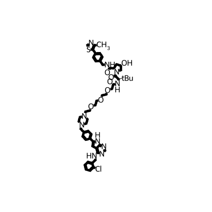 Cc1ncsc1-c1ccc(CNC(=O)C2CC(O)CN2C(=O)[C@@H](NC(=O)COCCOCCOCCN2CCN(Cc3ccc(-c4cc5c(NCc6ccccc6Cl)ncnc5[nH]4)cc3)CC2)C(C)(C)C)cc1